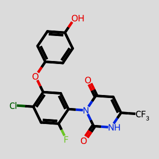 O=c1cc(C(F)(F)F)[nH]c(=O)n1-c1cc(Oc2ccc(O)cc2)c(Cl)cc1F